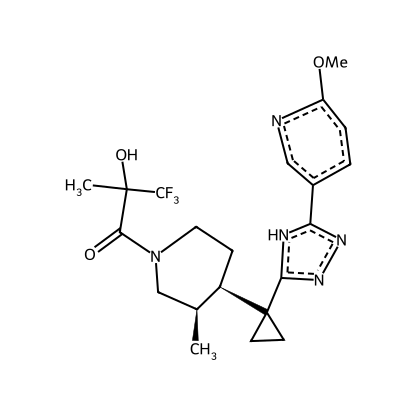 COc1ccc(-c2nnc(C3([C@@H]4CCN(C(=O)C(C)(O)C(F)(F)F)C[C@@H]4C)CC3)[nH]2)cn1